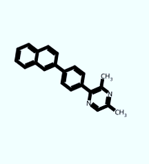 Cc1cnc(-c2ccc(-c3ccc4ccccc4c3)cc2)c(C)n1